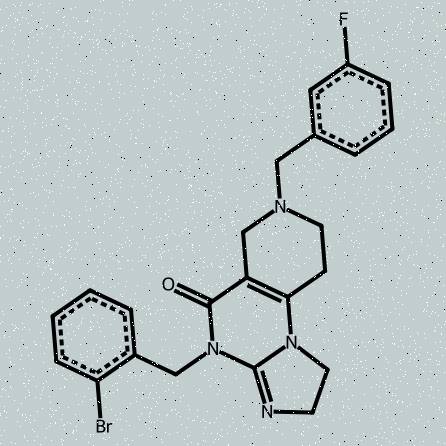 O=C1C2=C(CCN(Cc3cccc(F)c3)C2)N2CCN=C2N1Cc1ccccc1Br